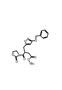 CC(C)(C)OC(=O)CC(Cc1cc(OCc2ccccc2)no1)C(=O)N1CCOC1=O